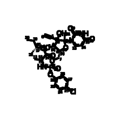 C#C[C@@]1(O)[C@H](O)[C@@H](COP(=O)(N[C@@H](C)C(=O)O[C@H](C)CC)Oc2ccc(Cl)cc2)O[C@@]1(C)n1ccc(=O)[nH]c1=O